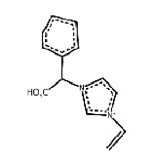 C=C[n+]1ccn(C(C(=O)O)c2ccccc2)c1